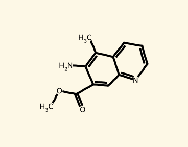 COC(=O)c1cc2ncccc2c(C)c1N